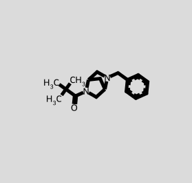 CC(C)(C)C(=O)N1CC2CC1CN2Cc1ccccc1